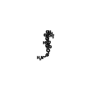 C[C@](N)(CO)C(=O)N1CCN(C(=O)Nc2ccn(-c3ccc(CN4CC(CCN)C4)cc3)c(=O)n2)CC1